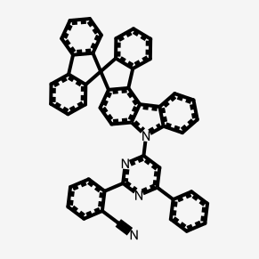 N#Cc1ccccc1-c1nc(-c2ccccc2)cc(-n2c3ccccc3c3c4c(ccc32)C2(c3ccccc3-c3ccccc32)c2ccccc2-4)n1